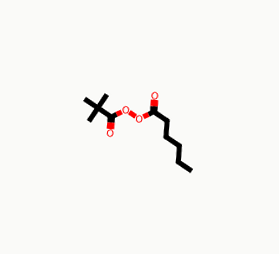 CCCCCC(=O)OOC(=O)C(C)(C)C